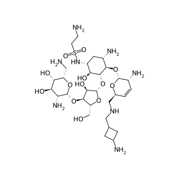 NCCS(=O)(=O)N[C@@H]1C[C@H](N)[C@@H](O[C@H]2O[C@H](CNCC3CC(N)C3)C=C[C@H]2N)[C@H](O[C@@H]2O[C@H](CO)[C@@H](O[C@H]3O[C@@H](CN)[C@@H](O)[C@H](O)[C@H]3N)[C@H]2O)[C@H]1O